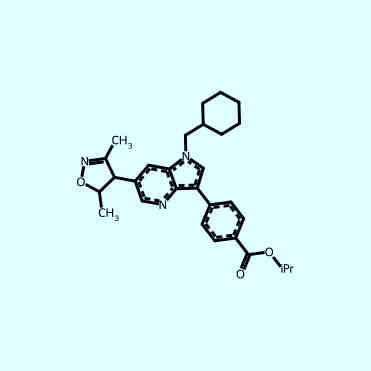 CC1=NOC(C)C1c1cnc2c(-c3ccc(C(=O)OC(C)C)cc3)cn(CC3CCCCC3)c2c1